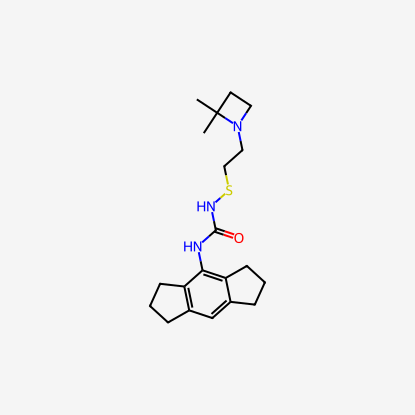 CC1(C)CCN1CCSNC(=O)Nc1c2c(cc3c1CCC3)CCC2